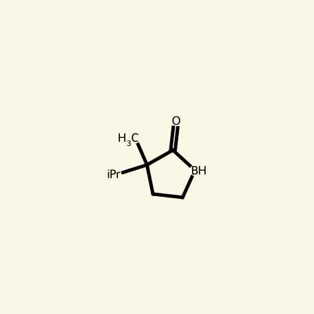 CC(C)C1(C)CCBC1=O